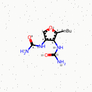 CCCCc1occ(NC(N)=O)c1NC(N)=O